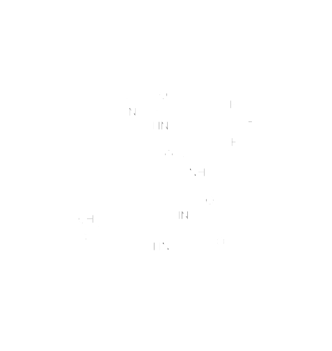 CSc1ccc(CNC2CCOCC2NC(=O)CNC(=O)c2cc(C(F)(F)F)ccc2NC(=O)N2CCCC2)cc1